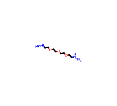 [N-]=[N+]=NCCOCCOCCOCCNN